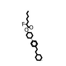 CCCCC[C@H](F)C(=O)O[C@H]1CC[C@H](c2ccc(CCC3CC[CH]CC3)cc2)CC1